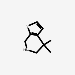 CC1(C)CNCc2sccc21